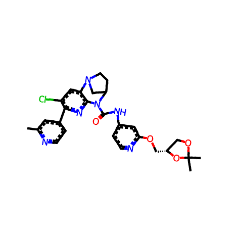 Cc1cc(-c2nc3c(cc2Cl)N2CCC(C2)N3C(=O)Nc2ccnc(OC[C@@H]3COC(C)(C)O3)c2)ccn1